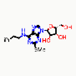 CSc1nc(NCCC(C)C)c2ncn([C@@H]3O[C@H](CO)[C@@H](O)[C@H]3O)c2n1